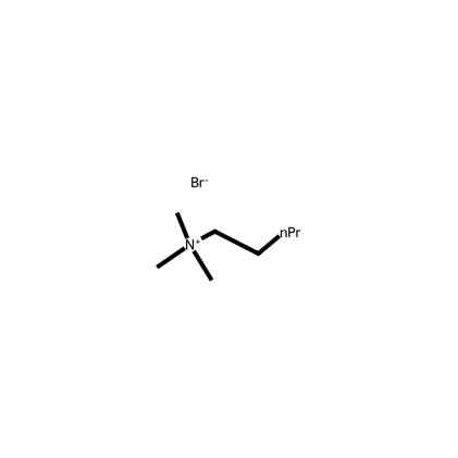 CCCCC[N+](C)(C)C.[Br-]